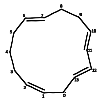 [CH]1/C=C\CCC/C=C/CC/C=C/C=C/1